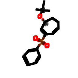 C[Si](C)(C)O[C@H]1C=C(S(=O)(=O)c2ccccc2)C=CCC1